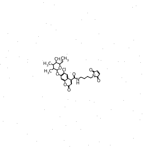 CCC1OC(Oc2cc3oc(=O)cc(C(=O)NCCCCN4C(=O)C=CC4=O)c3cc2Cl)C(C)C(C)C1C